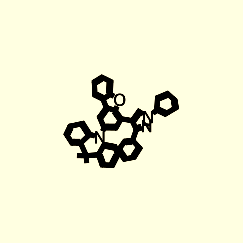 CC1(C)c2ccccc2N(c2cc(-c3cn(-c4ccccc4)nc3-c3ccccc3)c3oc4ccccc4c3c2)c2ccccc21